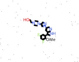 COc1c(F)cc(F)cc1-c1c[nH]c2ncc(-n3cc(N4CCN(CCO)CC4)cn3)cc12